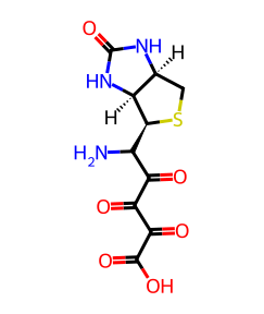 NC(C(=O)C(=O)C(=O)C(=O)O)[C@@H]1SC[C@@H]2NC(=O)N[C@@H]21